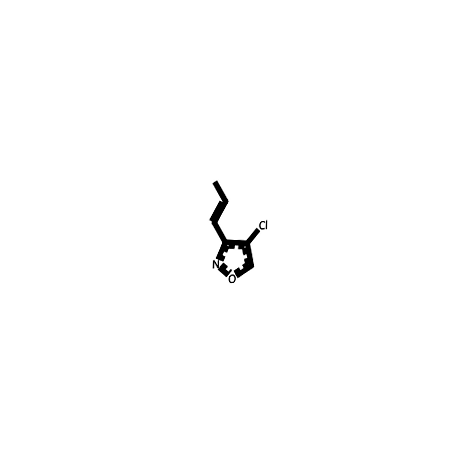 C/C=C/c1nocc1Cl